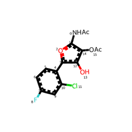 CC(=O)Nc1oc(-c2ccc(F)cc2Cl)c(O)c1OC(C)=O